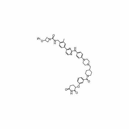 Cc1cc(-c2ccnc(Nc3ccc(N4CCN(CC5CCN(C(=O)c6cccc(OC7CCC(=O)NC7=O)c6)CC5)CC4)cc3)n2)ccc1CNC(=O)N1CC(OC(C)C)C1